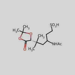 CC(=O)NC(CCS(=O)(=O)O)CC(C)(C)[C@H]1OC(C)(C)OC1=O